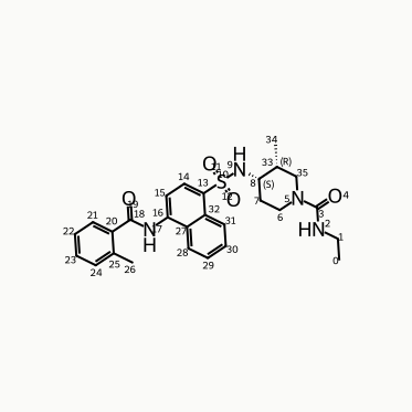 CCNC(=O)N1CC[C@H](NS(=O)(=O)c2ccc(NC(=O)c3ccccc3C)c3ccccc23)[C@H](C)C1